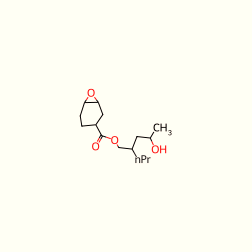 CCCC(COC(=O)C1CCC2OC2C1)CC(C)O